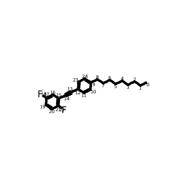 CCCCCCCCCc1ccc(C#Cc2cc(F)ccc2F)cc1